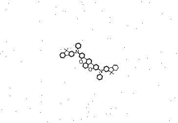 CC1(C)C2=C(C=CCC2)c2ccc(N(c3ccccc3)c3ccc4c(c3)Oc3ccc5c6c(ccc-4c36)-c3ccc(N(c4ccccc4)c4ccc6c(c4)C(C)(C)c4ccccc4-6)cc3O5)cc21